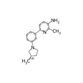 Cc1nc(-c2cccc(N3CC[C@@H](C)C3)c2)ccc1N